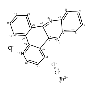 [Cl-].[Cl-].[Cl-].[Rh+3].c1ccc2nc3c4cccnc4c4ncccc4c3nc2c1